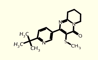 CSc1c(-c2ccc(C(C)(C)C)nc2)nc2n(c1=O)CCCC2